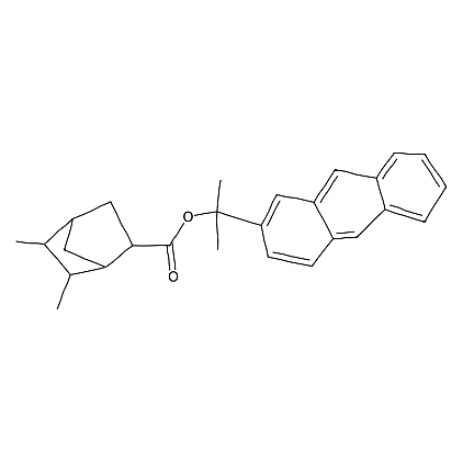 CC1C2CC(C(=O)OC(C)(C)c3ccc4cc5ccccc5cc4c3)C(C2)C1C